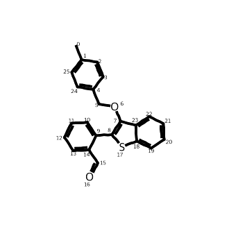 Cc1ccc(COc2c(-c3ccccc3C=O)sc3ccccc23)cc1